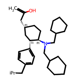 C=C(O)C[C@@H]1CC[C@@H](N(CC2CCCCC2)CC2CCCCC2)[C@H](c2ccc(CC(C)C)cc2)C1